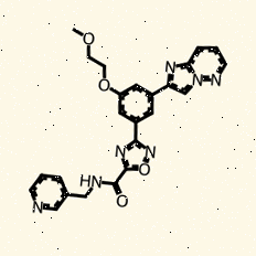 COCCOc1cc(-c2cn3ncccc3n2)cc(-c2noc(C(=O)NCc3cccnc3)n2)c1